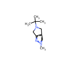 Cn1cc2c(n1)CN(C(C)(C)C)C2